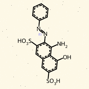 Nc1c(/N=N/c2ccccc2)c(S(=O)(=O)O)cc2cc(S(=O)(=O)O)cc(O)c12